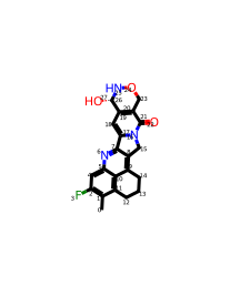 Cc1c(F)cc2nc3c(c4c2c1CCC4)Cn1c-3cc2c(c1=O)CON[C@H]2O